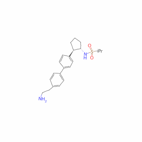 CC(C)S(=O)(=O)N[C@H]1CCC[C@@H]1c1ccc(-c2ccc(CCN)cc2)cc1